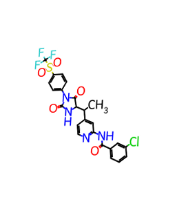 CC(c1ccnc(NC(=O)c2cccc(Cl)c2)c1)C1NC(=O)N(c2ccc(S(=O)(=O)C(F)(F)F)cc2)C1=O